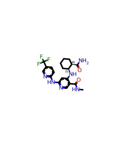 CNC(=O)c1cnc(Nc2ccc(C(F)(F)F)cn2)cc1N[C@H]1CCCC[C@H]1C(N)=O